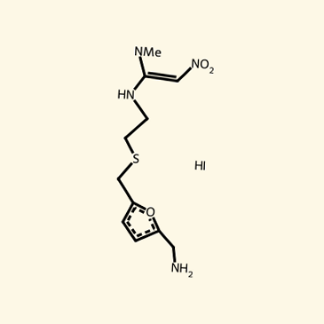 CNC(=C[N+](=O)[O-])NCCSCc1ccc(CN)o1.I